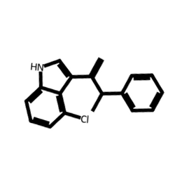 C=C(c1c[nH]c2cccc(Cl)c12)C(C)c1ccccc1